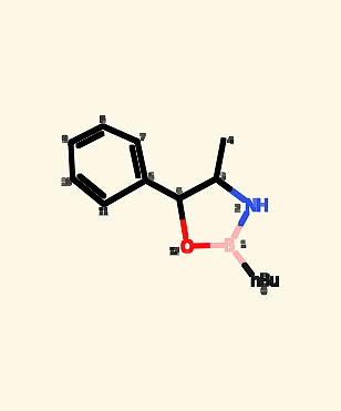 CCCCB1NC(C)C(c2ccccc2)O1